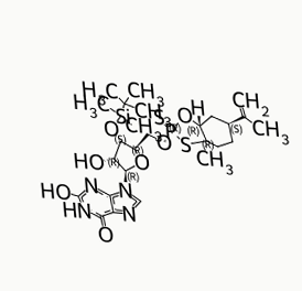 C=C(C)[C@H]1CC[C@@]2(C)S[P@](=S)(OC[C@H]3O[C@@H](n4cnc5c(=O)[nH]c(O)nc54)[C@H](O)[C@@H]3O[Si](C)(C)C(C)(C)C)O[C@@H]2C1